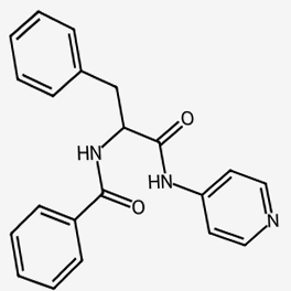 O=C(NC(Cc1ccccc1)C(=O)Nc1ccncc1)c1ccccc1